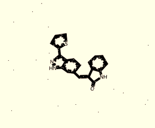 O=C1Nc2ccccc2/C1=C\c1ccc2c(-c3cccs3)n[nH]c2c1